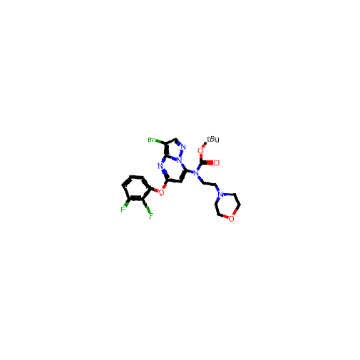 CC(C)(C)OC(=O)N(CCN1CCOCC1)c1cc(Oc2cccc(F)c2F)nc2c(Br)cnn12